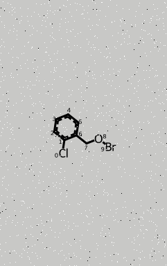 Clc1ccccc1COBr